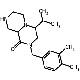 Cc1ccc(CN2CC(C(C)C)N3CCNCC3C2=O)cc1C